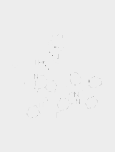 Cc1c(F)cc2nn(C(c3ccccc3)(c3ccccc3)c3ccccc3)cc2c1-c1c(C2CC2)cc2c(N3C[C@@H]4C[C@H]3CN4C(=O)OC(C)(C)C)nc(OC3CCOCC3)nc2c1OCc1ccccc1